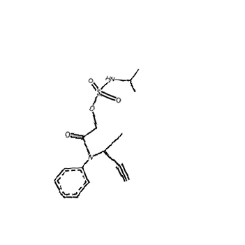 C#CC(C)N(C(=O)COS(=O)(=O)NC(C)C)c1ccccc1